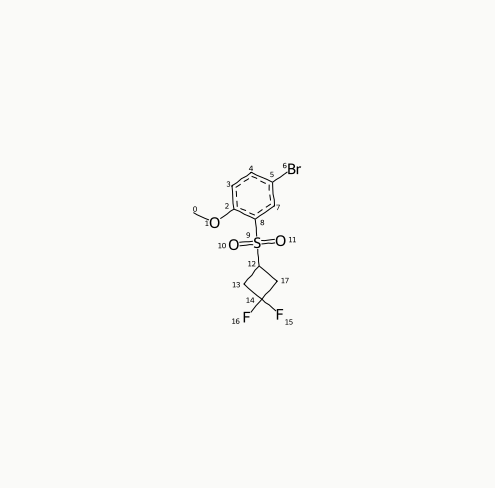 COc1ccc(Br)cc1S(=O)(=O)C1CC(F)(F)C1